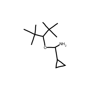 CC(C)(C)C(OC(N)C1CC1)C(C)(C)C